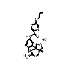 CCCOc1cnc(C(=O)Nc2ccc(F)c(C34COCC3(F)COC(N)=N4)c2)cn1.Cl